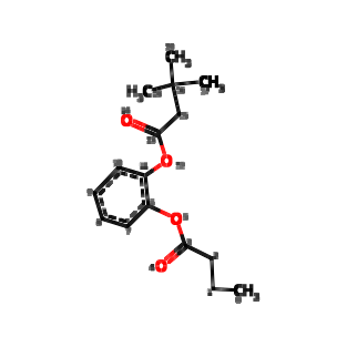 CCCC(=O)Oc1ccccc1OC(=O)CC(C)(C)C